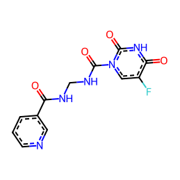 O=C(NCNC(=O)n1cc(F)c(=O)[nH]c1=O)c1cccnc1